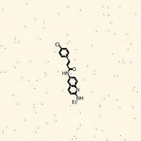 CCNc1ccc2cc(NC(=O)C=Cc3ccc(Cl)cc3)ccc2n1